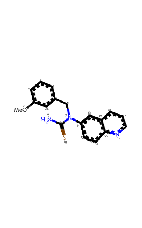 COc1cccc(CN(C(N)=S)c2ccc3ncccc3c2)c1